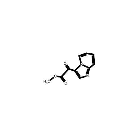 COC(=O)C(=O)c1cnc2ccccn12